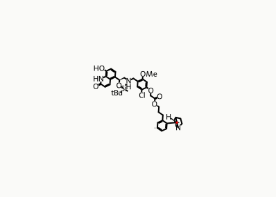 COc1cc(OCC(=O)OCCCc2c[c]ccc2[C@@H]2CN3CCC2CC3)c(Cl)cc1CNC[C@@H](O[Si](C)(C)C(C)(C)C)c1ccc(O)c2[nH]c(=O)ccc12